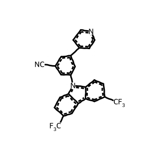 N#Cc1cc(-c2ccncc2)cc(-n2c3ccc(C(F)(F)F)cc3c3cc(C(F)(F)F)ccc32)c1